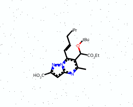 CCOC(=O)C(OC(C)(C)C)c1c(C)nc2cc(C(=O)O)nn2c1C=CCC(C)C